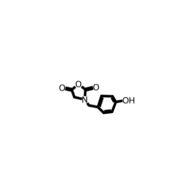 O=C1CN(Cc2ccc(O)cc2)C(=O)O1